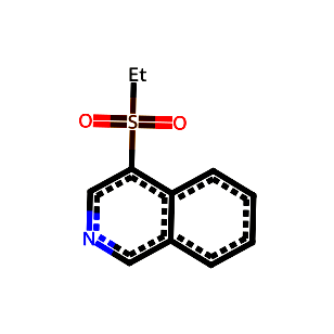 CCS(=O)(=O)c1cncc2ccccc12